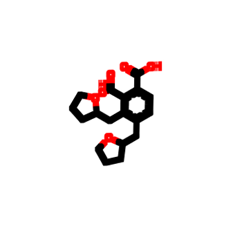 O=C(O)c1ccc(CC2CCCO2)c(CC2CCCO2)c1C(=O)O